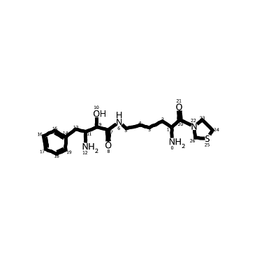 NC(CCCCNC(=O)C(O)C(N)Cc1ccccc1)C(=O)N1CCSC1